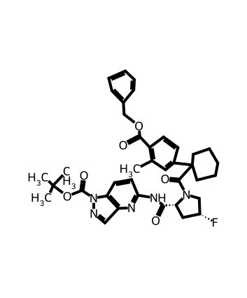 Cc1cc(C2(C(=O)N3C[C@H](F)C[C@@H]3C(=O)Nc3ccc4c(cnn4C(=O)OC(C)(C)C)n3)CCCCC2)ccc1C(=O)OCc1ccccc1